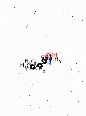 CCN(c1cccc(-c2ccc(C(=O)NC(C)C(=O)O)c(C)c2)c1)c1cc(C)c(Cl)cc1C